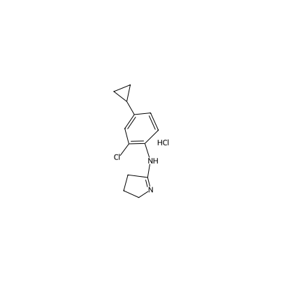 Cl.Clc1cc(C2CC2)ccc1NC1=NCCC1